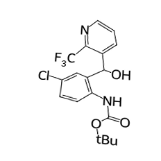 CC(C)(C)OC(=O)Nc1ccc(Cl)cc1C(O)c1cccnc1C(F)(F)F